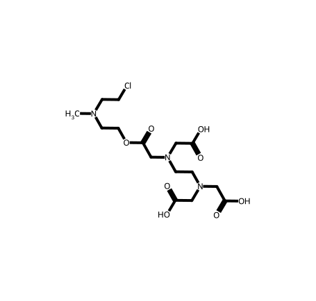 CN(CCCl)CCOC(=O)CN(CCN(CC(=O)O)CC(=O)O)CC(=O)O